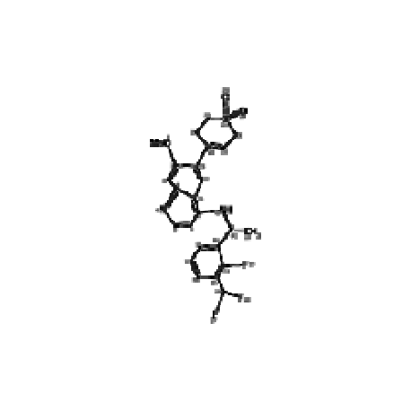 COc1cc2nccc(N[C@H](C)c3cccc(C(F)F)c3F)c2cc1C1=CCS(=O)(=O)CC1